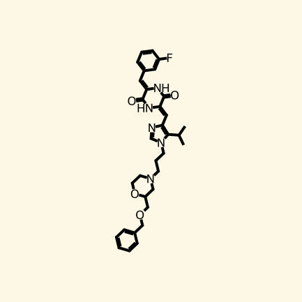 CC(C)c1c(/C=c2\[nH]c(=O)/c(=C/c3cccc(F)c3)[nH]c2=O)ncn1CCCN1CCOC(COCc2ccccc2)C1